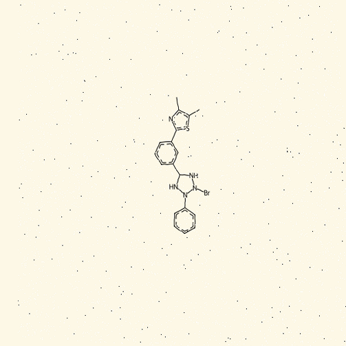 Cc1nc(-c2cccc(C3NN(Br)N(c4ccccc4)N3)c2)sc1C